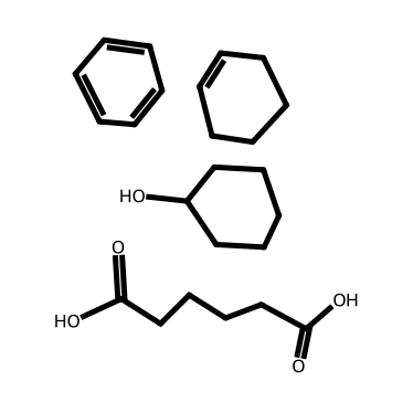 C1=CCCCC1.O=C(O)CCCCC(=O)O.OC1CCCCC1.c1ccccc1